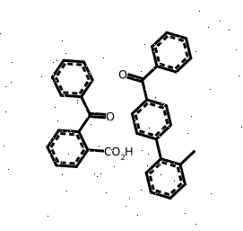 Cc1ccccc1-c1ccc(C(=O)c2ccccc2)cc1.O=C(O)c1ccccc1C(=O)c1ccccc1